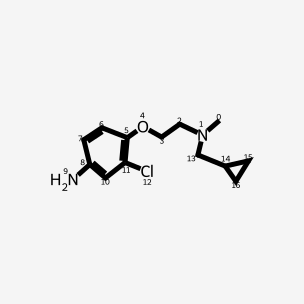 CN(CCOc1ccc(N)cc1Cl)CC1CC1